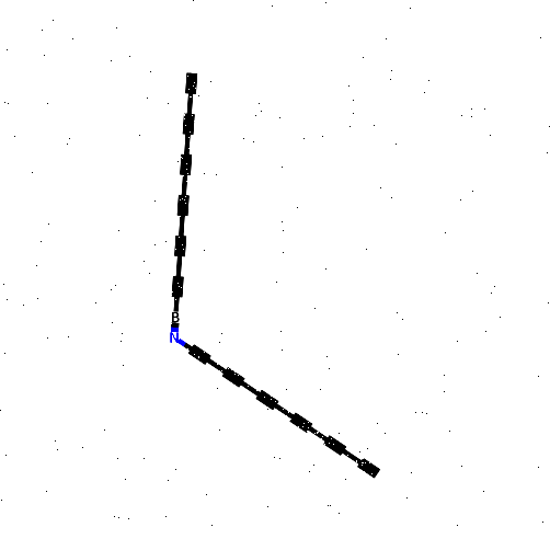 C#CC#CC#CC#CC#CC#C/B=N/C#CC#CC#CC#CC#CC#C